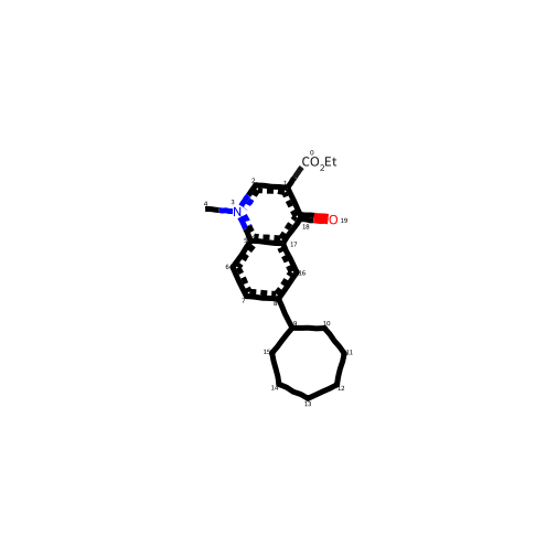 CCOC(=O)c1cn(C)c2ccc(C3CCCCCC3)cc2c1=O